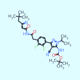 CC(C)n1nc(-c2ccc(CC(=O)Nc3cc(CC(C)(C)C)no3)c(F)c2F)c(C#N)c1NC(=O)OC(C)(C)C